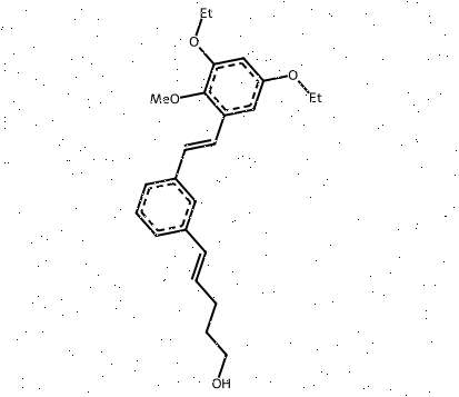 CCOc1cc(C=Cc2cccc(C=CCCCO)c2)c(OC)c(OCC)c1